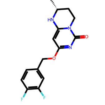 C[C@@H]1CCn2c(cc(OCc3ccc(F)c(F)c3)nc2=O)N1